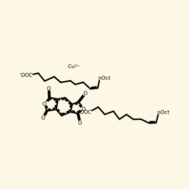 CCCCCCCC/C=C\CCCCCCCC(=O)[O-].CCCCCCCC/C=C\CCCCCCCC(=O)[O-].O=c1oc(=O)c2cc3c(=O)oc(=O)c3cc12.[Cu+2]